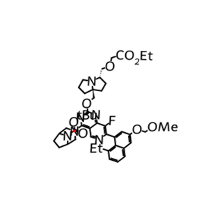 CCOC(=O)COC[C@@H]1CC[C@]2(COc3nc(N4CC5CCC(C4)N5C(=O)OC(C)(C)C)c4cnc(-c5cc(OCOC)cc6cccc(CC)c56)c(F)c4n3)CCCN12